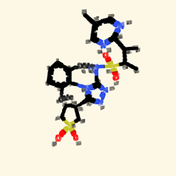 COc1cccc(OC)c1-n1c(NS(=O)(=O)C(C)C(C)c2ncc(C)cn2)nnc1[C@@H]1CCS(=O)(=O)C1